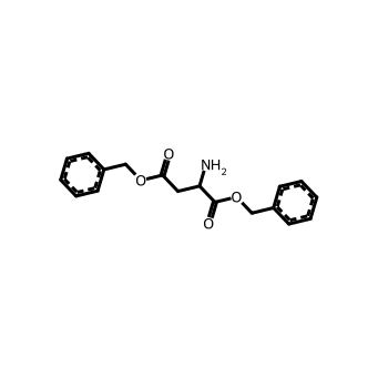 NC(CC(=O)OCc1ccccc1)C(=O)OCc1ccccc1